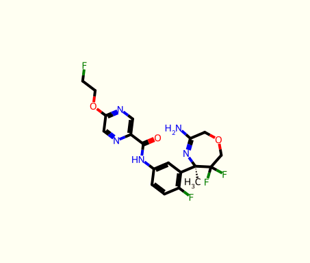 C[C@]1(c2cc(NC(=O)c3cnc(OCCF)cn3)ccc2F)N=C(N)COCC1(F)F